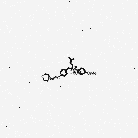 CCOC(=O)C(CC=C(C)C)(Cc1ccc(OCCN2CCOCC2)cc1)S(=O)(=O)c1ccc(OC)cc1